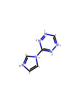 c1cn(-c2nncnn2)cn1